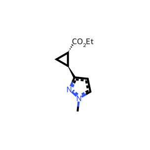 CCOC(=O)[C@H]1C[C@@H]1c1ccn(C)n1